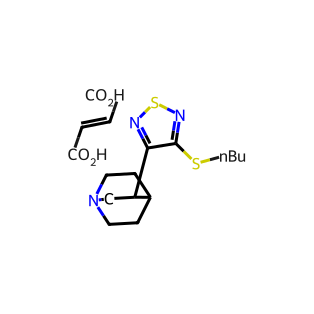 CCCCSc1nsnc1C1CN2CCC1CC2.O=C(O)C=CC(=O)O